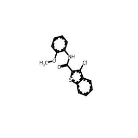 COc1ccccc1NC(=O)c1sc2ccccc2c1Cl